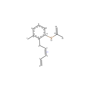 C=C/C=C\Cc1c(C)cccc1SC(=C)C